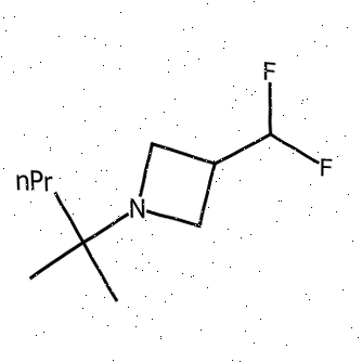 CCCC(C)(C)N1CC(C(F)F)C1